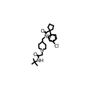 CC(C)(C)NC(=O)CN1CCC(CNC(=O)C2(c3ccc(Cl)cc3)CCCC2)CC1